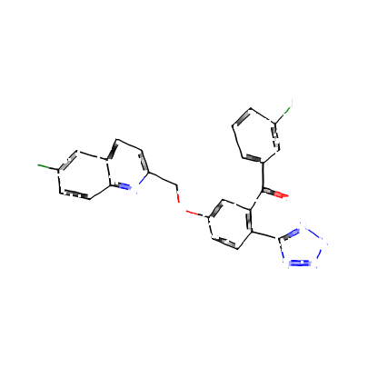 O=C(c1cccc(F)c1)c1cc(OCc2ccc3cc(F)ccc3n2)ccc1-c1nn[nH]n1